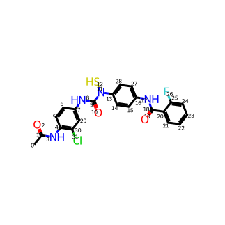 CC(=O)Nc1ccc(NC(=O)N(S)c2ccc(NC(=O)c3ccccc3F)cc2)cc1Cl